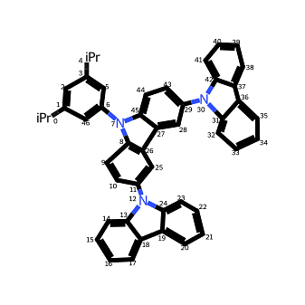 CC(C)c1cc(C(C)C)cc(-n2c3ccc(-n4c5ccccc5c5ccccc54)cc3c3cc(-n4c5ccccc5c5ccccc54)ccc32)c1